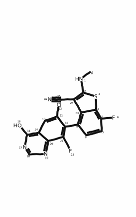 [CH2]Nc1sc2c(F)ccc(-c3c(Cl)cc4c(O)ncnc4c3F)c2c1C#N